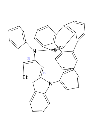 CC/C=C(\C=C1/Cc2ccccc2N1c1ccccc1)N(c1ccccc1)c1cccc2c1-c1cccc3c1-c1ccccc1-c1cccc-3c1-2